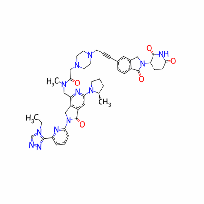 CCn1cnnc1-c1cccc(N2Cc3c(cc(N4CCC[C@H]4C)nc3CN(C)C(=O)CN3CCN(CC#Cc4ccc5c(c4)CN(C4CCC(=O)NC4=O)C5=O)CC3)C2=O)n1